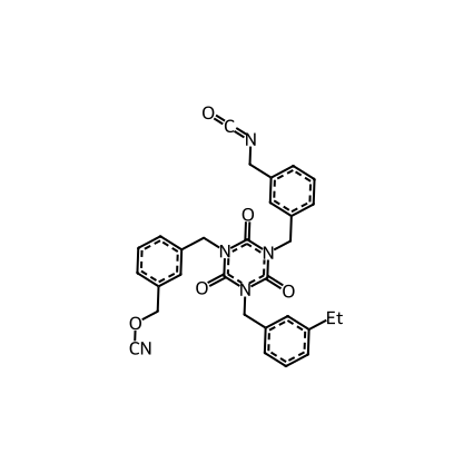 CCc1cccc(Cn2c(=O)n(Cc3cccc(CN=C=O)c3)c(=O)n(Cc3cccc(COC#N)c3)c2=O)c1